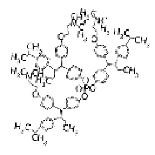 CC/C(=C(/c1ccc(OCCN(C)C)cc1)c1ccc(OP(=O)(Oc2ccc(/C(=C(\CC)c3ccc(C(C)C)cc3)c3ccc(OCCN(C)C)cc3)cc2)Oc2ccc(/C(=C(\CC)c3ccc(C(C)C)cc3)c3ccc(OCCN(C)C)cc3)cc2)cc1)c1ccc(C(C)C)cc1